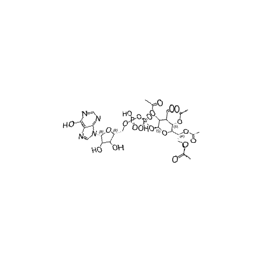 CC(=O)OC[C@@H](OC(C)=O)C1O[C@@H](OP(=O)(O)OP(=O)(O)OC[C@H]2O[C@@H](n3cnc4c(O)ncnc43)C(O)C2O)C(OC(C)=O)C(C=O)[C@@H]1OC(C)=O